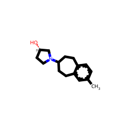 Cc1ccc2c(c1)CCC(N1CC[C@H](O)C1)CC2